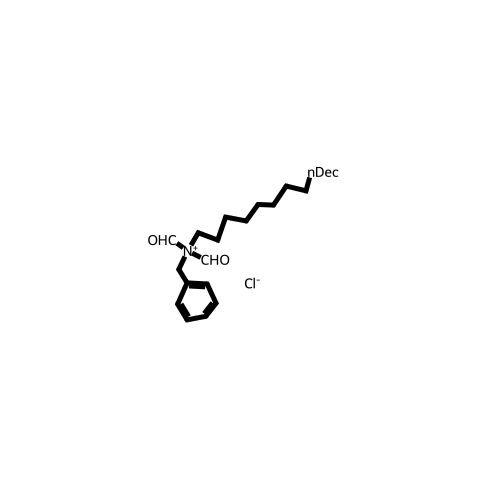 CCCCCCCCCCCCCCCCCC[N+](C=O)(C=O)Cc1ccccc1.[Cl-]